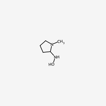 CN1CCCC1NO